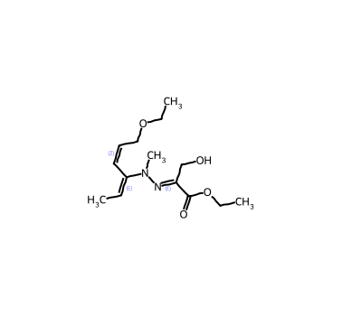 C/C=C(\C=C/COCC)N(C)/N=C(\CO)C(=O)OCC